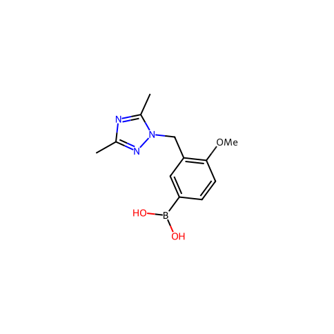 COc1ccc(B(O)O)cc1Cn1nc(C)nc1C